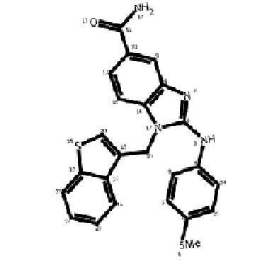 CSc1ccc(Nc2nc3cc(C(N)=O)ccc3n2Cc2csc3ccccc23)cc1